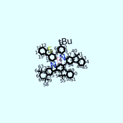 CC(C)(C)c1ccc(N2B3c4cc5sc6ccccc6c5cc4-n4c5cc6c(cc5c5c7c(c(c3c54)-c3cc4c(cc32)C(C)(C)c2ccccc2-4)-c2ccccc2C7(C)C)C(C)(C)CCC6(C)C)cc1